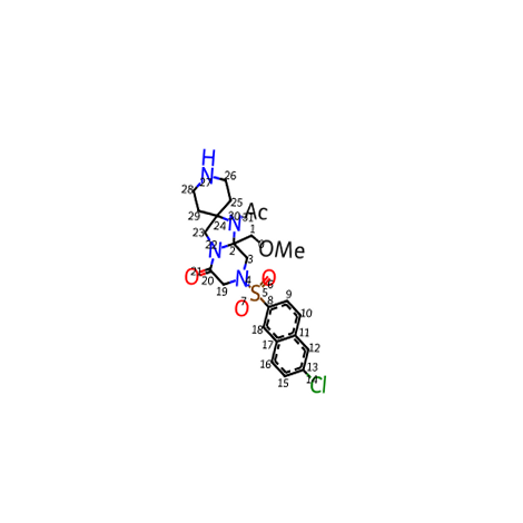 COCC12CN(S(=O)(=O)c3ccc4cc(Cl)ccc4c3)CC(=O)N1CC1(CCNCC1)N2C(C)=O